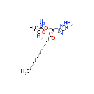 CCCCCCCCC=CCCCCCCCC(=O)OC[C@H](CCOC(=O)[C@@H](N)C(C)C)Cn1cnc2cnc(N)nc21